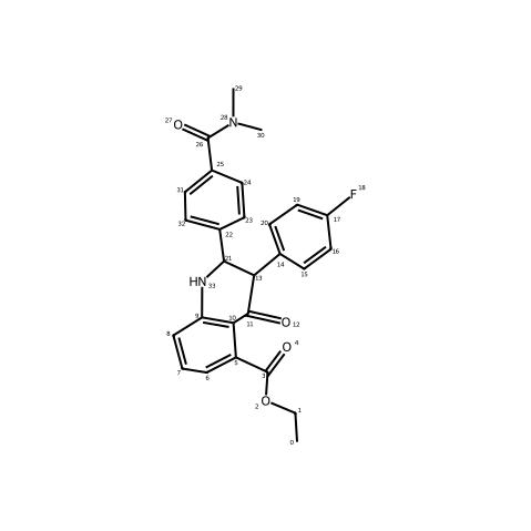 CCOC(=O)c1cccc2c1C(=O)C(c1ccc(F)cc1)C(c1ccc(C(=O)N(C)C)cc1)N2